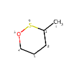 CC1CCCOS1